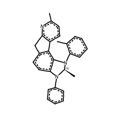 Cc1ccc2c(n1)Cc1ccc3c(c1-2)N(c1ccccc1C)[C@@H](C)N3c1ccccc1